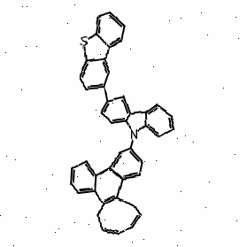 C1=C\Cc2c(c3ccc(-n4c5ccccc5c5cc(-c6ccc7sc8ccccc8c7c6)ccc54)cc3c3ccccc23)C\C=C/1